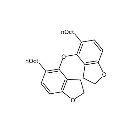 CCCCCCCCc1ccc2c(c1Oc1c(CCCCCCCC)ccc3c1CCO3)CCO2